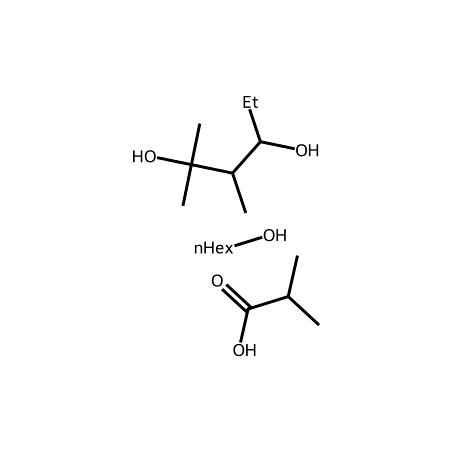 CC(C)C(=O)O.CCC(O)C(C)C(C)(C)O.CCCCCCO